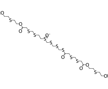 O=C(CSCSCC[S+]([O-])CSCSCSC(=O)CSCSCC(=O)OCCSCCO)OCCSCCO